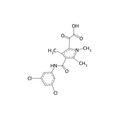 Cc1c(C(=O)Nc2cc(Cl)cc(Cl)c2)c(C)n(C)c1C(=O)C(=O)O